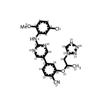 COc1ccc(Cl)cc1Nc1ncc(-c2ccc(C#N)c(OC(C)Cn3cnnn3)c2)cn1